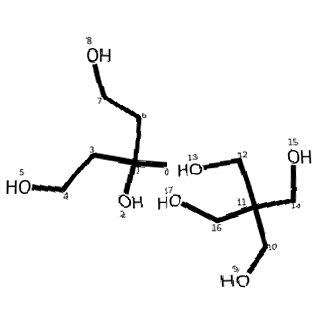 CC(O)(CCO)CCO.OCC(CO)(CO)CO